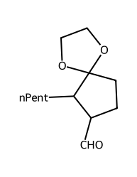 CCCCCC1C(C=O)CCC12OCCO2